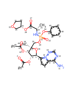 CC(C)C(=O)O[C@H]1[C@H](c2ccc3c(N)ncnn23)O[C@](C#N)(COP(=O)(N[C@@H](C)C(=O)O[C@H]2CCOC2)Oc2ccccc2)[C@H]1OC(=O)C(C)C